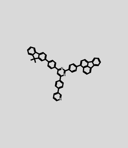 CC1(C)c2ccccc2-c2ccc(-c3ccc(-c4cc(-c5ccc(-c6cccnc6)cc5)nc(-c5ccc(-c6ccc7c8c(cccc68)-c6ccccc6-7)cc5)n4)cc3)cc21